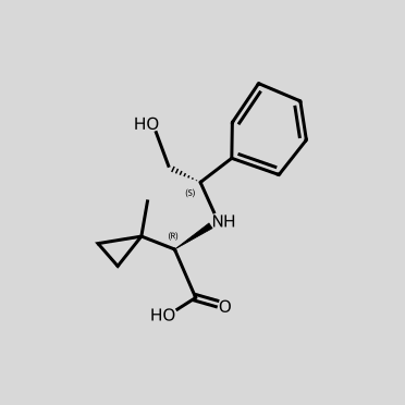 CC1([C@@H](N[C@H](CO)c2ccccc2)C(=O)O)CC1